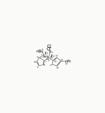 CCCC[Si](C)=[Zr+2]([F])([F])([F])([C]1=CC=CC1)[C]1=CC(CCC)=CC1.[Cl-].[Cl-]